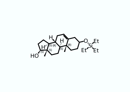 CC[Si](CC)(CC)OC1CC[C@@]2(C)C(=CC[C@H]3[C@@H]4CC[C@H](O)[C@@]4(C)CC[C@@H]32)C1